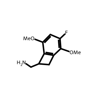 COc1cc(F)c(OC)c2c1C(CN)C2